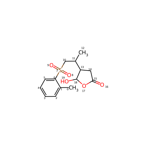 Cc1ccccc1S(=O)(=O)CC(C)C1CC(=O)OC1O